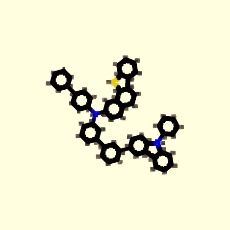 c1ccc(-c2ccc(N(c3cccc(-c4cccc(-c5ccc6c(c5)c5ccccc5n6-c5ccccc5)c4)c3)c3ccc4ccc5c6ccccc6sc5c4c3)cc2)cc1